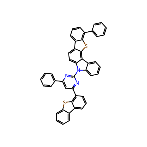 c1ccc(-c2cc(-c3cccc4c3sc3ccccc34)nc(-n3c4ccccc4c4c5sc6c(-c7ccccc7)cccc6c5ccc43)n2)cc1